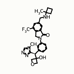 Cn1cnnc1[C@@H](c1cccc(N2Cc3c(cc(CNC4(C)CCC4)cc3C(F)(F)F)C2=O)c1)C1(O)COC1